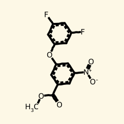 COC(=O)c1cc(Oc2cc(F)cc(F)c2)cc([N+](=O)[O-])c1